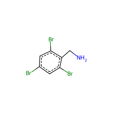 NCc1c(Br)cc(Br)cc1Br